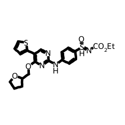 CCOC(=O)N=[SH](=O)c1ccc(Nc2ncc(-c3cccs3)c(OCC3CCCO3)n2)cc1